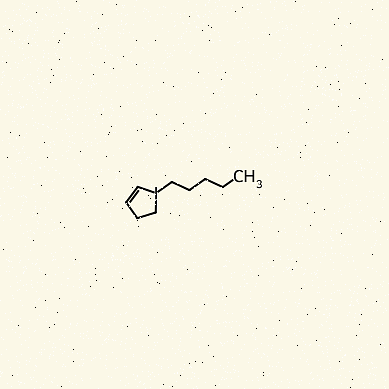 CCCCCI1C=CCC1